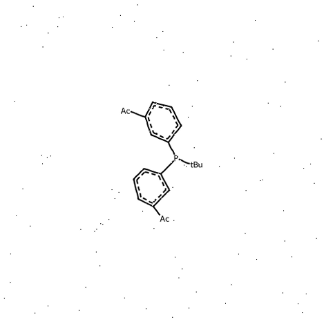 CC(=O)c1cccc(P(c2cccc(C(C)=O)c2)C(C)(C)C)c1